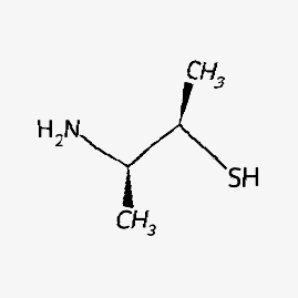 C[C@@H](N)[C@@H](C)S